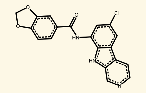 O=C(Nc1cc(Cl)cc2c1[nH]c1cnccc12)c1ccc2c(c1)OCO2